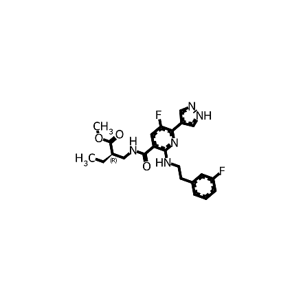 CC[C@H](CNC(=O)c1cc(F)c(-c2cn[nH]c2)nc1NCCc1cccc(F)c1)C(=O)OC